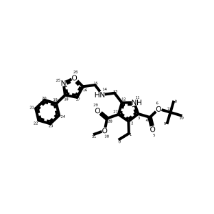 CCc1c(C(=O)OC(C)(C)C)[nH]c(CNCc2cc(-c3ccccc3)no2)c1C(=O)OC